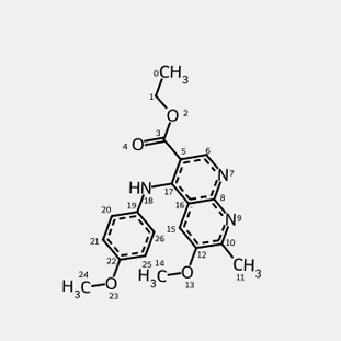 CCOC(=O)c1cnc2nc(C)c(OC)cc2c1Nc1ccc(OC)cc1